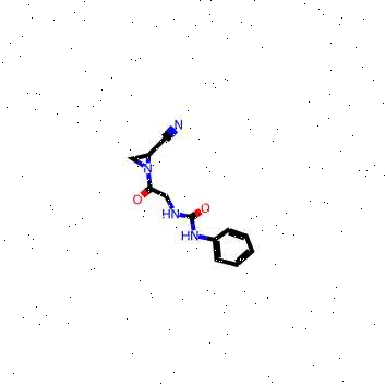 N#CC1CN1C(=O)CNC(=O)Nc1ccccc1